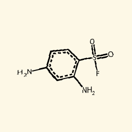 Nc1ccc(S(=O)(=O)F)c(N)c1